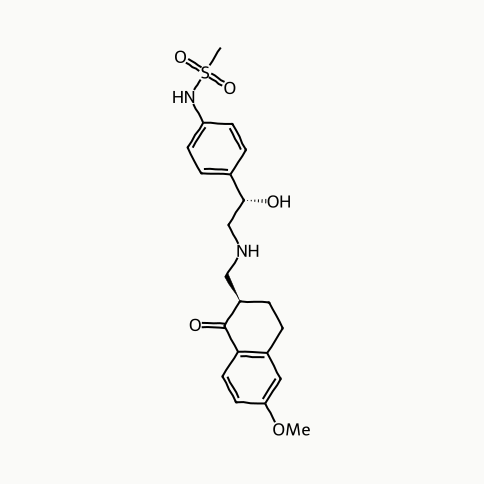 COc1ccc2c(c1)CC[C@H](CNC[C@@H](O)c1ccc(NS(C)(=O)=O)cc1)C2=O